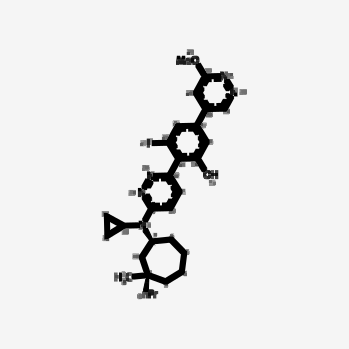 CCC[C@]1(C)CCCC[C@H](N(c2ccc(-c3c(O)cc(-c4cnnc(OC)c4)cc3F)nn2)C2CC2)C1